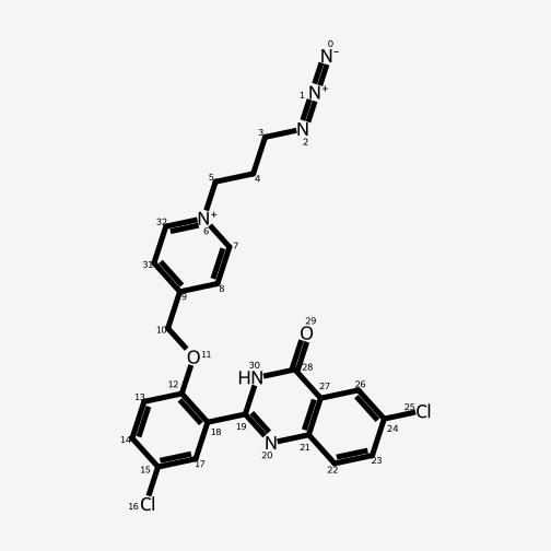 [N-]=[N+]=NCCC[n+]1ccc(COc2ccc(Cl)cc2-c2nc3ccc(Cl)cc3c(=O)[nH]2)cc1